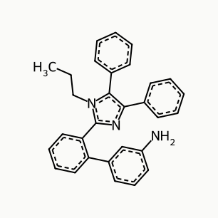 CCCn1c(-c2ccccc2-c2cccc(N)c2)nc(-c2ccccc2)c1-c1ccccc1